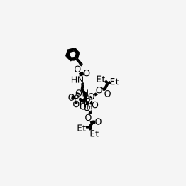 CCC(CC)C(=O)OCOP(=O)(OCOC(=O)C(CC)CC)C(O)(CCCNC(=O)OCc1ccccc1)P(=O)(O)O